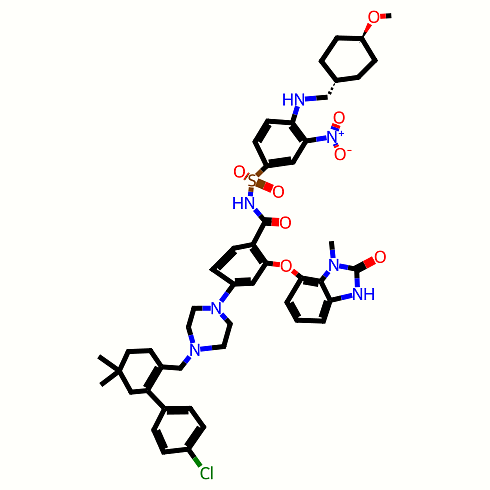 CO[C@H]1CC[C@H](CNc2ccc(S(=O)(=O)NC(=O)c3ccc(N4CCN(CC5=C(c6ccc(Cl)cc6)CC(C)(C)CC5)CC4)cc3Oc3cccc4[nH]c(=O)n(C)c34)cc2[N+](=O)[O-])CC1